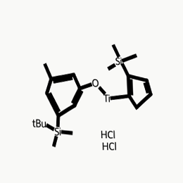 Cc1cc([O][Ti][C]2=C([Si](C)(C)C)C=CC2)cc([Si](C)(C)C(C)(C)C)c1.Cl.Cl